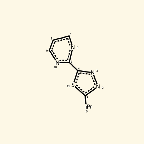 CC(C)c1nnc(-c2ncccn2)s1